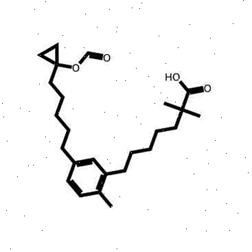 Cc1ccc(CCCCCC2(OC=O)CC2)cc1CCCCCC(C)(C)C(=O)O